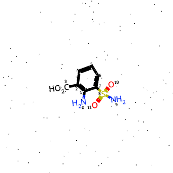 Nc1c(C(=O)O)cccc1S(N)(=O)=O